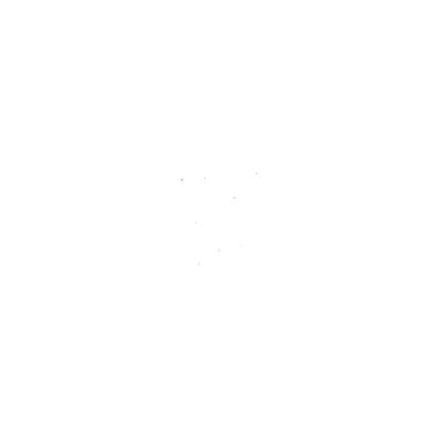 CC(=O)Oc1ccc(C)cc1[C]=O